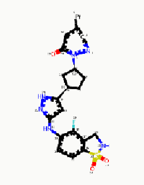 CC(C)c1cnn([C@H]2CC[C@@H](c3cc(Nc4ccc5c(c4F)CNS5(=O)=O)n[nH]3)C2)c(=O)c1